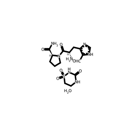 NC(=O)[C@@H]1CCCN1C(=O)[C@@H](N)Cc1nc[nH]c1C=O.O.O=C1NCCS(=O)(=O)N1